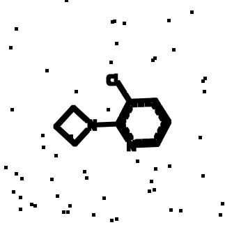 Clc1cccnc1N1CCC1